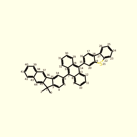 CC1(C)c2ccc(-c3c4ccccc4c(-c4ccc5c(c4)sc4ccccc45)c4ccccc34)cc2-c2cc3ccccc3cc21